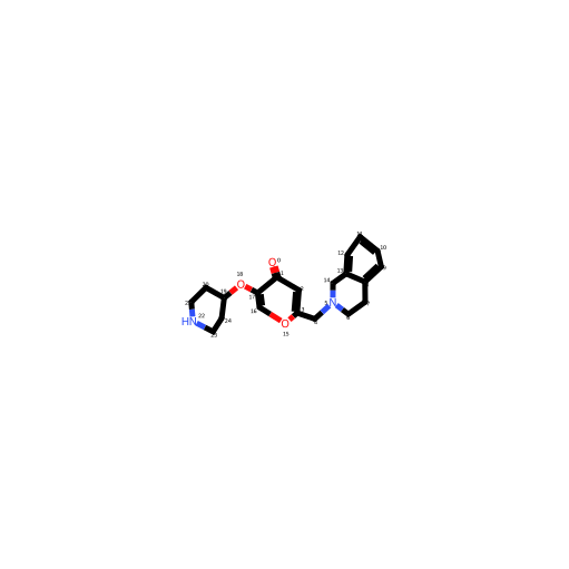 O=c1cc(CN2CCc3ccccc3C2)occ1OC1CCNCC1